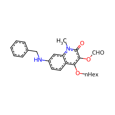 CCCCCCOc1c(OC=O)c(=O)n(C)c2cc(NCc3ccccc3)ccc12